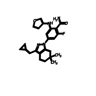 CC1(C)CCc2c(CC3CC3)nn(-c3cc(F)c(C(N)=O)c(NC4CCOC4)c3)c2C1